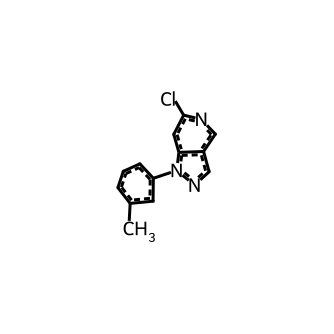 Cc1cccc(-n2ncc3cnc(Cl)cc32)c1